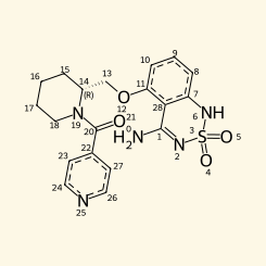 NC1=NS(=O)(=O)Nc2cccc(OC[C@H]3CCCCN3C(=O)c3ccncc3)c21